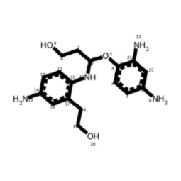 Nc1ccc(OC(CCO)Nc2ccc(N)cc2CCO)c(N)c1